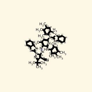 Cc1cc(C)c(Nc2nc(N(c3nc4ccccc4s3)c3c(C)cc(C)c(C)c3C)cc(C)c2/N=N/c2c(C#N)c(C(C)(C)C)nn2-c2nc3ccccc3s2)c(C)c1C